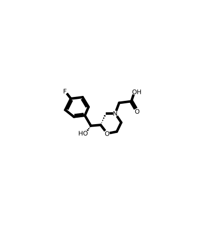 O=C(O)CN1CCO[C@H]([C@H](O)c2ccc(F)cc2)C1